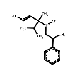 CC=CC(C)(C(C)C)[S+]([O-])CC(C)c1ccccc1